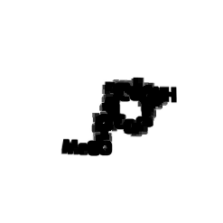 COC(=O)CCc1cccc(C2CCCC(C)(C)CSCCc3c(c(F)cc4[nH]ccc34)Oc3ccc(F)c(c3)-c3ccn2n3)c1